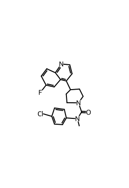 CN(C(=O)N1CCC(c2ccnc3ccc(F)cc23)CC1)c1ccc(Cl)cc1